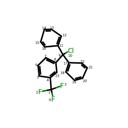 FC(F)(F)c1cccc(C(Cl)(c2ccccc2)c2ccccc2)c1